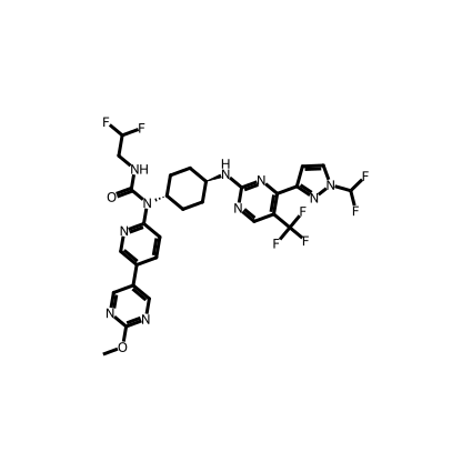 COc1ncc(-c2ccc(N(C(=O)NCC(F)F)[C@H]3CC[C@H](Nc4ncc(C(F)(F)F)c(-c5ccn(C(F)F)n5)n4)CC3)nc2)cn1